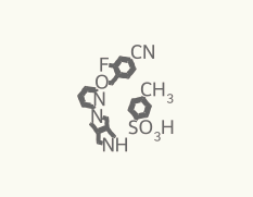 Cc1ccc(S(=O)(=O)O)cc1.N#Cc1ccc(COc2cccc(N3CC4=C(CNC4)C3)n2)c(F)c1